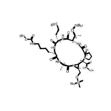 CCCCNC(=O)[C@H]1C2[C@@H](CO[Si](C)(C)C(C)(C)C)N2C(=O)[C@H](C)NC(=O)[C@H](CCCCNC(=O)OC(C)(C)C)NC(=O)[C@H](CCSC)NC(=O)[C@H]([C@@H](C)OCCCC)NC(=O)[C@@H]2CCCN21